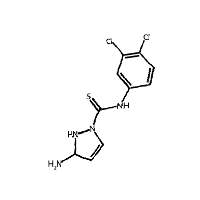 NC1C=CN(C(=S)Nc2ccc(Cl)c(Cl)c2)N1